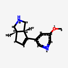 COc1cncc(C2=CC[C@H]3CNC[C@@H]23)c1